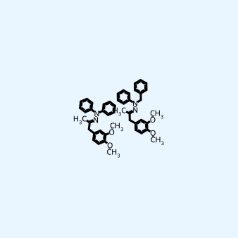 COc1ccc(CC(C)=NN(Cc2ccccc2)c2ccccc2)cc1OC.COc1ccc(CC(C)=NN(c2ccccc2)c2ccccc2)cc1OC